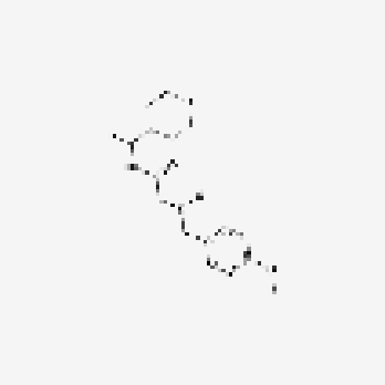 COc1ccc(C[S+]([O-])CC(=O)NC(C)N2CCOCC2)cc1